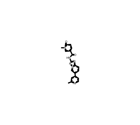 Cc1cc(-c2ccc3nc(NC(=O)c4ccc(=O)n(C)c4)nn3c2)ccn1